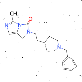 Cc1ncc2n1C(=O)N(CCC1CCN(Cc3ccccc3)CC1)C2